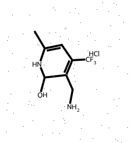 CC1=CC(C(F)(F)F)=C(CN)C(O)N1.Cl